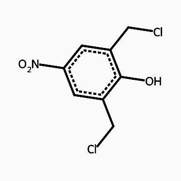 O=[N+]([O-])c1cc(CCl)c(O)c(CCl)c1